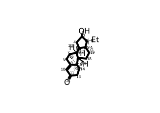 CC[C@H]1C(O)C[C@H]2[C@@H]3CCC4=CC(=O)CC[C@]4(C)[C@H]3CC[C@]12C